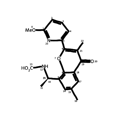 COc1cccc(-c2oc3c([C@@H](C)NC(=O)O)cc(C)cc3c(=O)c2C)n1